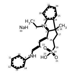 CC[N+]1=C(/C=C/C=C/Nc2ccccc2)C(C)(CCCS(=O)(=O)O)c2ccccc21.[NaH]